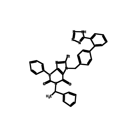 CCc1nc2c(c(=O)n(C(C)c3ccccc3)c(=O)n2-c2ccccc2)n1Cc1ccc(-c2ccccc2-c2nnn[nH]2)cc1